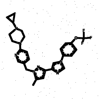 Cc1cc(-c2cn(-c3ccc(OC(F)(F)F)cc3)cn2)nn1Cc1ccc(N2CCN(C3CC3)CC2)nc1